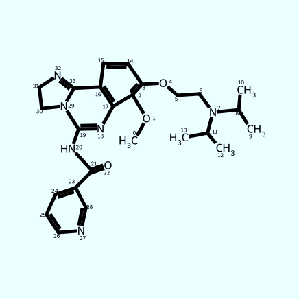 COc1c(OCCN(C(C)C)C(C)C)ccc2c1N=C(NC(=O)c1cccnc1)N1CCN=C21